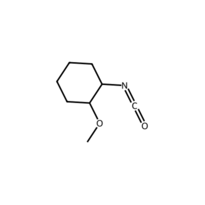 COC1CCCCC1N=C=O